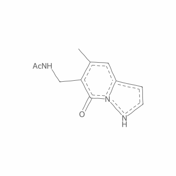 CC(=O)NCc1c(C)cc2cc[nH]n2c1=O